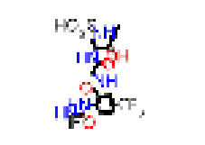 CC#C[C@H](O)C(CNC(=O)O)NC(=O)CNC(=O)c1cc(C(F)(F)F)ccc1NC(=O)NC(C)C